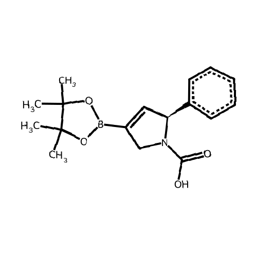 CC1(C)OB(C2=C[C@@H](c3ccccc3)N(C(=O)O)C2)OC1(C)C